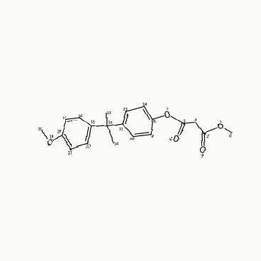 COC(=O)CC(=O)Oc1ccc(C(C)(C)c2ccc(OC)cc2)cc1